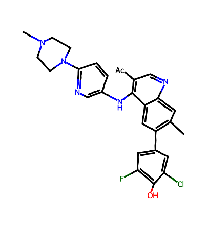 CC(=O)c1cnc2cc(C)c(-c3cc(F)c(O)c(Cl)c3)cc2c1Nc1ccc(N2CCN(C)CC2)nc1